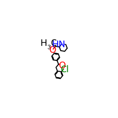 CC(Oc1ccc(C(=O)Cc2ccccc2Cl)cc1)C1CCCCN1